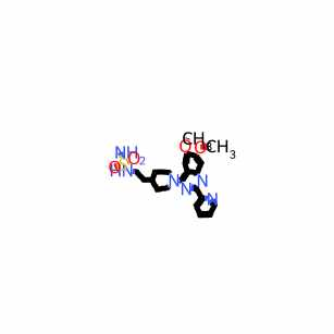 COc1cc2nc(-c3ccccn3)nc(N3CCC(CCNS(N)(=O)=O)CC3)c2cc1OC